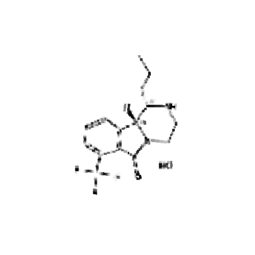 CCC[C@@H]1NCCN2C(=O)c3c(cccc3C(F)(F)F)[C@H]12.Cl